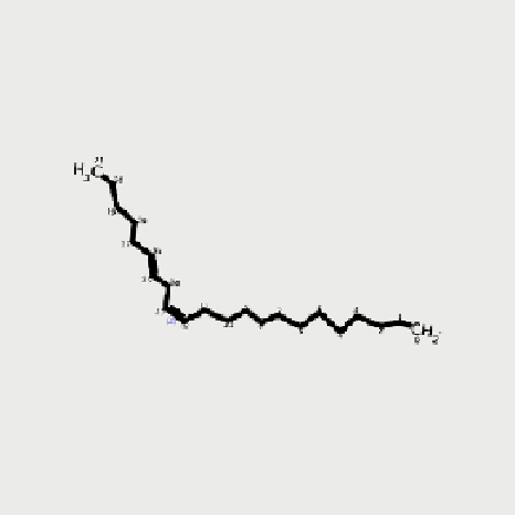 [CH2]CCCCCCCCCCC/C=C\CC=CCCCCC